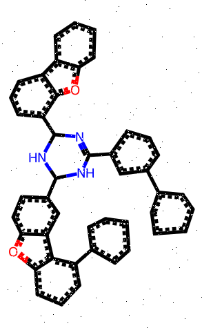 c1ccc(-c2cccc(C3=NC(c4cccc5c4oc4ccccc45)NC(c4ccc5oc6cccc(-c7ccccc7)c6c5c4)N3)c2)cc1